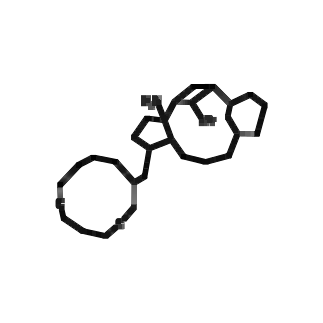 CCCC1C2CC1C1(N)CCC(CC3CCCCCCCCCC3)C1CCCC1CCCC2C1